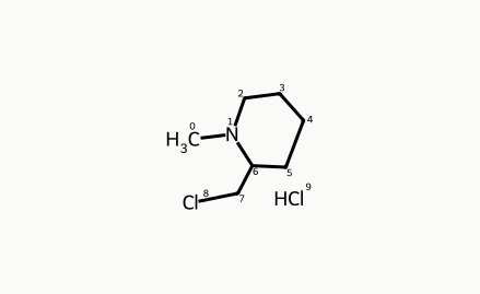 CN1CCCCC1CCl.Cl